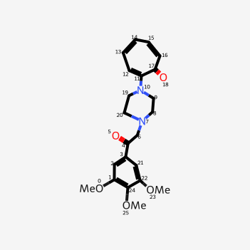 COc1cc(C(=O)CN2CCN(c3cccccc3=O)CC2)cc(OC)c1OC